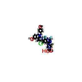 COc1ccc(CN(Cc2ccc(OC)cc2)c2cc(C)cc(-c3c(Cl)cc4c(N5CCN(C(=O)O)C[C@@H]5C)nc(F)nc4c3F)n2)cc1